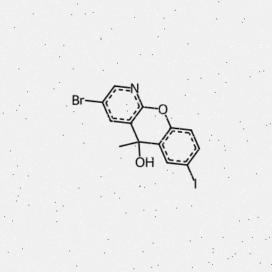 CC1(O)c2cc(I)ccc2Oc2ncc(Br)cc21